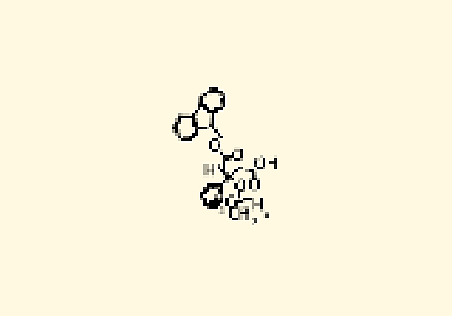 CC(C)(C)OC(CC(=O)O)(NC(=O)OCC1c2ccccc2-c2ccccc21)c1ccccc1